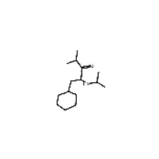 CC(C)NC(CC1CCCCC1)C(=O)C(C)C